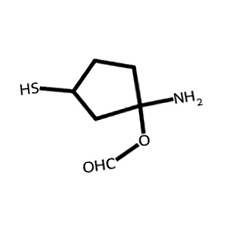 NC1(OC=O)CCC(S)C1